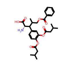 CC(C)CC(=O)Oc1ccc(C(C(C)COC(=O)c2ccccc2)[C@H](N)C(=O)O)cc1OC(=O)CC(C)C